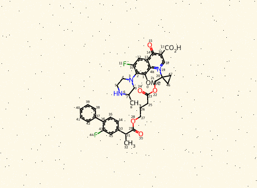 COc1c(N2CCNC(C)C2)c(F)cc2c(=O)c(C(=O)O)cn(C3(COC(=O)CCCOC(=O)C(C)c4ccc(-c5ccccc5)c(F)c4)CC3)c12